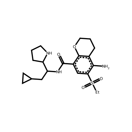 CCS(=O)(=O)c1cc(C(=O)NC(CC2CC2)C2CCCN2)c2c(c1N)CCCO2